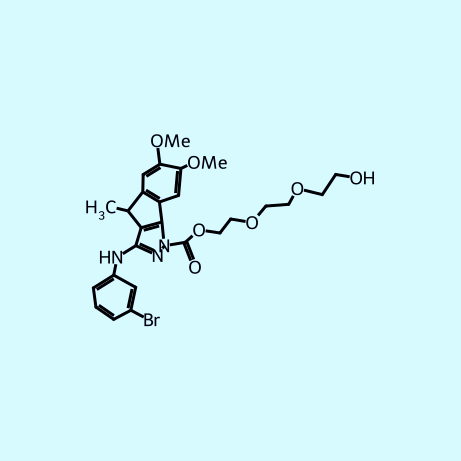 COc1cc2c(cc1OC)C(C)c1c(Nc3cccc(Br)c3)nn(C(=O)OCCOCCOCCO)c1-2